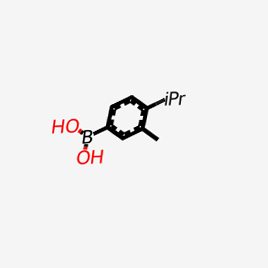 Cc1cc(B(O)O)ccc1C(C)C